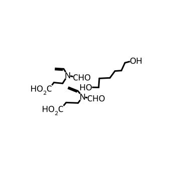 C=CN(C=O)CCC(=O)O.C=CN(C=O)CCC(=O)O.OCCCCCCO